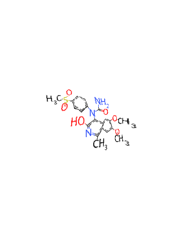 COc1cc2c(C)nc(O)c(N(C(N)=O)c3ccc(S(C)(=O)=O)cc3)c2cc1OC